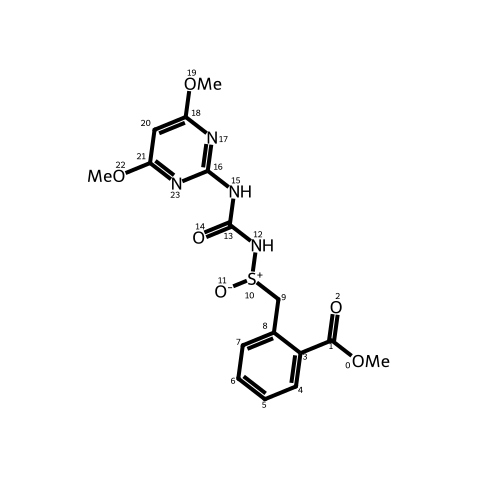 COC(=O)c1ccccc1C[S+]([O-])NC(=O)Nc1nc(OC)cc(OC)n1